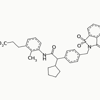 Cc1c(CCC(=O)O)cccc1NC(=O)C(c1ccc(CN2C(=O)c3ccccc3S2(=O)=O)cc1)C1CCCC1